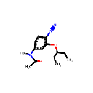 CCC(CC)Oc1cc(N(C)C(C)=O)ccc1[N+]#N